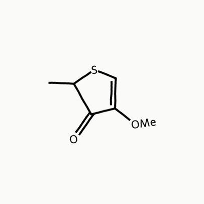 COC1=CSC(C)C1=O